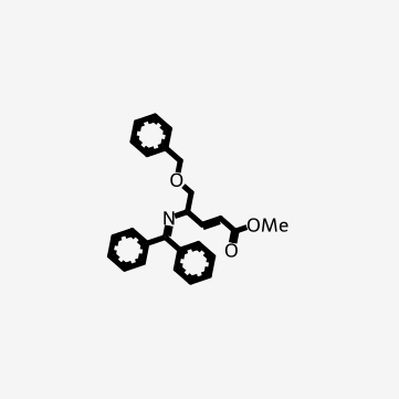 COC(=O)C=CC(COCc1ccccc1)N=C(c1ccccc1)c1ccccc1